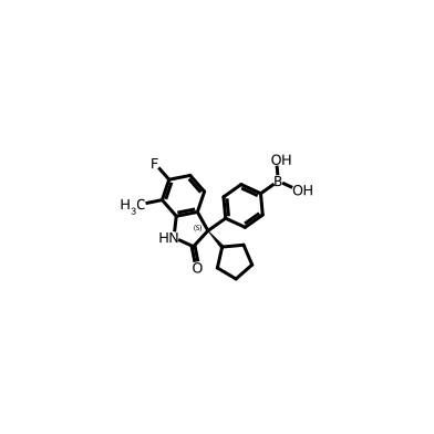 Cc1c(F)ccc2c1NC(=O)[C@]2(c1ccc(B(O)O)cc1)C1CCCC1